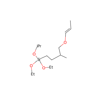 CC=COCC(C)CC[Si](OCC)(OCC)OC(C)C